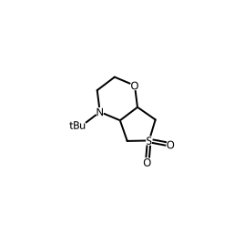 CC(C)(C)N1CCOC2CS(=O)(=O)CC21